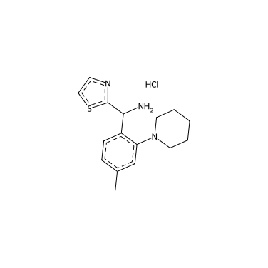 Cc1ccc(C(N)c2nccs2)c(N2CCCCC2)c1.Cl